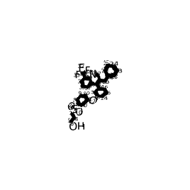 O=S(=O)(CCCO)c1cccc(Oc2cccc(-c3c(Cc4ccccc4)cnc4c(C(F)(F)F)cccc34)c2)c1